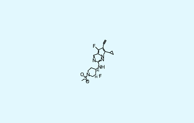 C#Cc1c(F)c2cnc(N[C@@H]3CCN(S(C)(=O)=O)C[C@H]3F)nn2c1C1CC1